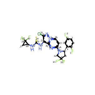 Fc1ccc(F)c([C@H]2CC(F)(F)CN2c2ccn3nc(Cl)c(NC(=S)NC4CC4(F)F)c3n2)c1